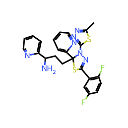 Cc1nnc(N2N=C(c3cc(F)ccc3F)SC2(CCC(N)c2ccccn2)c2ccccn2)s1